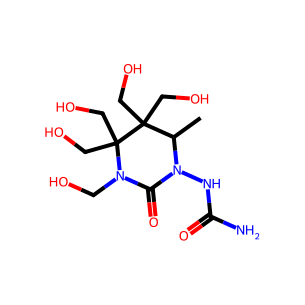 CC1N(NC(N)=O)C(=O)N(CO)C(CO)(CO)C1(CO)CO